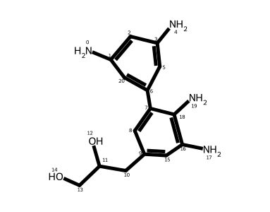 Nc1cc(N)cc(-c2cc(CC(O)CO)cc(N)c2N)c1